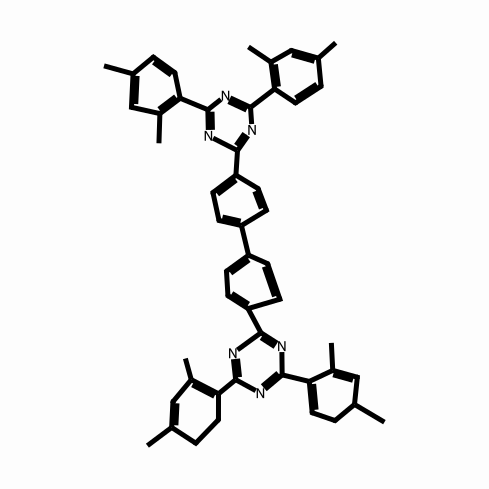 CC1=CC(C)=C(c2nc(C3=CCC(C)C=C3C)nc(-c3ccc(-c4ccc(-c5nc(-c6ccc(C)cc6C)nc(-c6ccc(C)cc6C)n5)cc4)cc3)n2)CC1